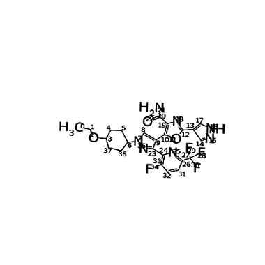 CCOC1CCC(n2cc(-c3oc(-c4cn[nH]c4)nc3C(N)=O)c(-c3nc(C(F)(F)F)ccc3F)n2)CC1